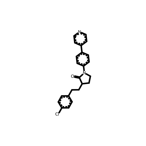 O=C1C(CCc2ccc(Cl)cc2)CCN1c1ccc(-c2ccncc2)cc1